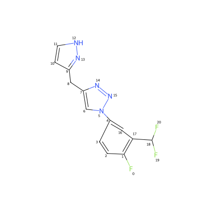 Fc1ccc(-n2cc(Cc3cc[nH]n3)nn2)cc1C(F)F